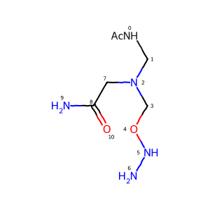 CC(=O)NCN(CONN)CC(N)=O